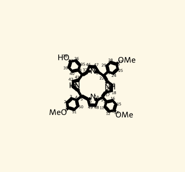 COc1ccc(-c2c3nc(c(-c4ccc(OC)cc4)c4ccc([nH]4)c(-c4ccc(OC)cc4)c4nc(c(-c5ccc(O)cc5)c5ccc2[nH]5)C=C4)C=C3)cc1